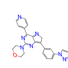 c1cc(C2=c3nc(N4CCOCC4)nc(-c4ccncc4)c3=NC2)cc(-n2cccn2)c1